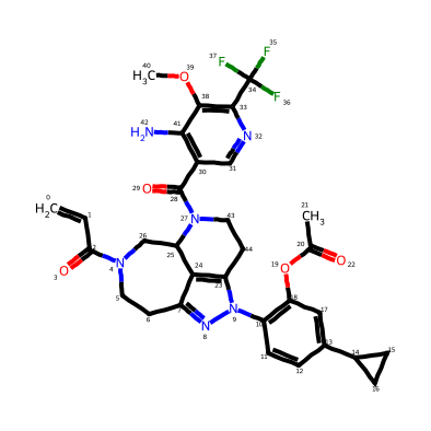 C=CC(=O)N1CCc2nn(-c3ccc(C4CC4)cc3OC(C)=O)c3c2C(C1)N(C(=O)c1cnc(C(F)(F)F)c(OC)c1N)CC3